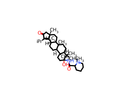 CC(C)C1=C2[C@H]3CC[C@@H]4[C@@]5(C)CC[C@@](O)(NC(=O)C6CCCCN6C)C(C)(C)[C@@H]5CC[C@@]4(C)[C@]3(C)CC[C@@]2(C)CC1=O